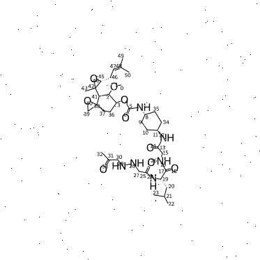 COC1C(OC(=O)N[C@H]2CC[C@H](NC(=O)CNC(=O)[C@H](CC(C)C)NC(=O)CNNCC(C)=O)CC2)CC[C@]2(CO2)C1C1(C)O[C@@H]1CC=C(C)C